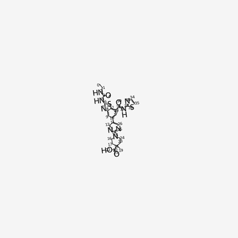 CCNC(=O)Nc1nc2cc(-c3cnc(N4CCC(C)(C(=O)O)CC4)nc3)cc(C(=O)Nc3nccs3)c2s1